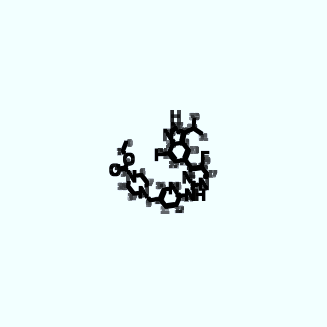 CCOC(=O)N1CCN(Cc2ccc(Nc3ncc(F)c(-c4cc(F)c5n[nH]c(C(C)C)c5c4)n3)nc2)CC1